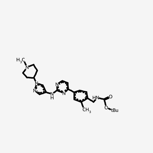 Cc1cc(-c2ccnc(Nc3cnn(C4CCN(C)CC4)c3)n2)ccc1CNC(=O)OC(C)(C)C